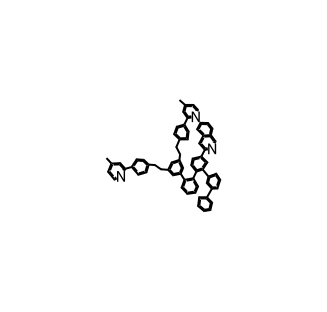 Cc1ccnc(-c2ccc(CCc3cc(CCc4ccc(-c5cc(C)ccn5)cc4)cc(-c4ccccc4-c4ccc(-c5cc6ccccc6cn5)cc4-c4cccc(-c5ccccc5)c4)c3)cc2)c1